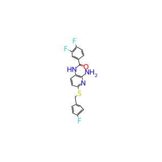 Nc1nc(SCc2ccc(F)cc2)ccc1NC(=O)c1ccc(F)c(F)c1